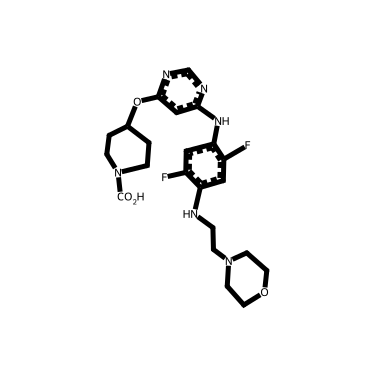 O=C(O)N1CCC(Oc2cc(Nc3cc(F)c(NCCN4CCOCC4)cc3F)ncn2)CC1